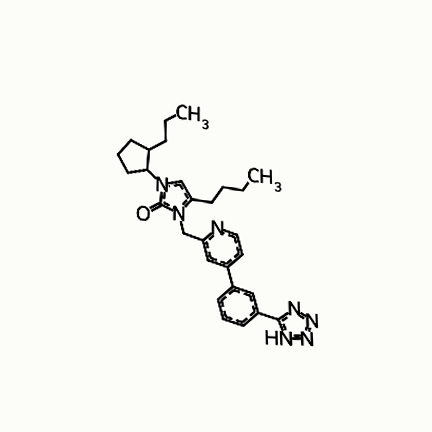 CCCCc1cn(C2CCCC2CCC)c(=O)n1Cc1cc(-c2cccc(-c3nnn[nH]3)c2)ccn1